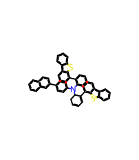 C1=CCC(N(c2ccc(-c3ccc4ccccc4c3)cc2)c2ccccc2-c2cccc3c2sc2ccccc23)C(c2cccc3c2sc2ccccc23)=C1